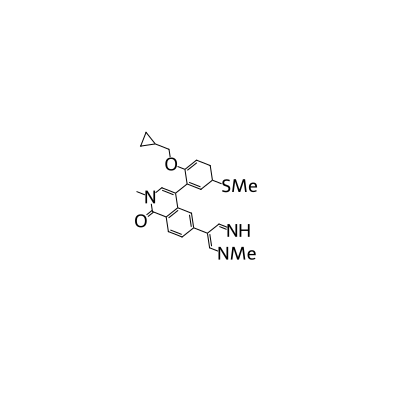 CN/C=C(\C=N)c1ccc2c(=O)n(C)cc(C3=CC(SC)CC=C3OCC3CC3)c2c1